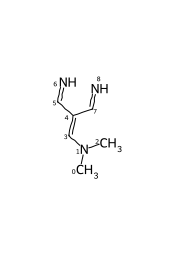 CN(C)C=C(C=N)C=N